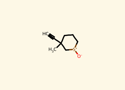 C#CC1(C)CCC[S+]([O-])C1